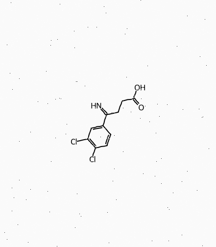 N=C(CCC(=O)O)c1ccc(Cl)c(Cl)c1